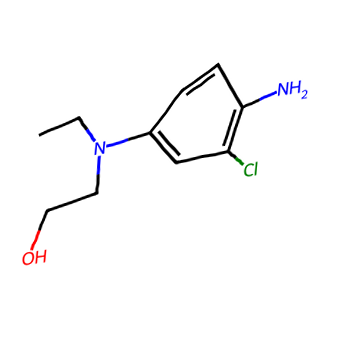 CCN(CCO)c1ccc(N)c(Cl)c1